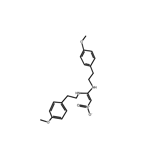 COc1ccc(CCNC(=C[N+](=O)[O-])NCCc2ccc(OC)cc2)cc1